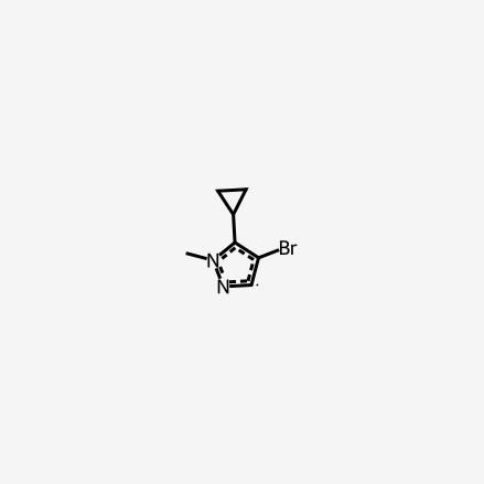 Cn1n[c]c(Br)c1C1CC1